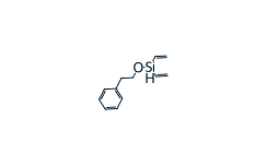 C=C[SiH](C=C)OCCc1ccccc1